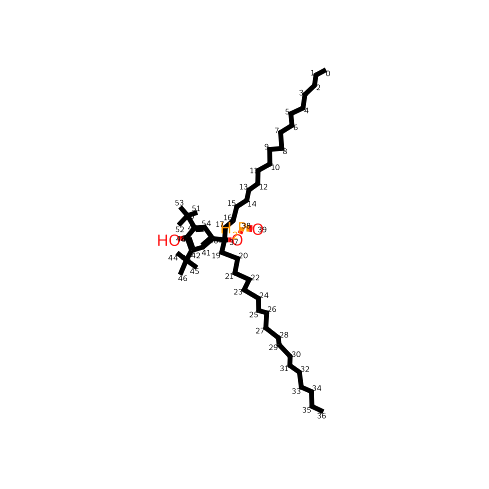 CCCCCCCCCCCCCCCCCCC(CCCCCCCCCCCCCCCCCC)(O[PH2]=O)c1cc(C(C)(C)C)c(O)c(C(C)(C)C)c1